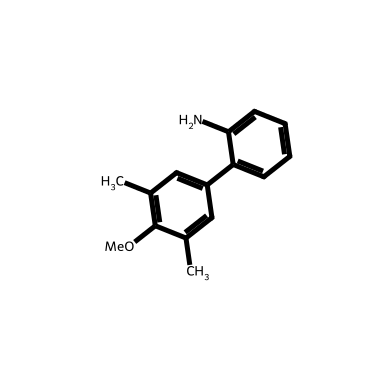 COc1c(C)cc(-c2ccccc2N)cc1C